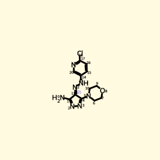 NC1=NN=C(N2CCOCC2)/C1=N\Nc1ccc(Cl)nc1